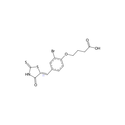 O=C(O)CCCOc1ccc(/C=C2\SC(=S)NC2=O)cc1Br